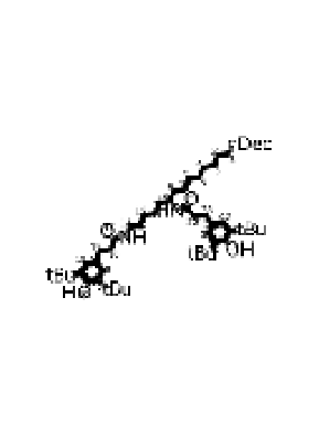 CCCCCCCCCCCCCCCCCCC(CCCCCNC(=O)CCc1cc(C(C)(C)C)c(O)c(C(C)(C)C)c1)NC(=O)CCc1cc(C(C)(C)C)c(O)c(C(C)(C)C)c1